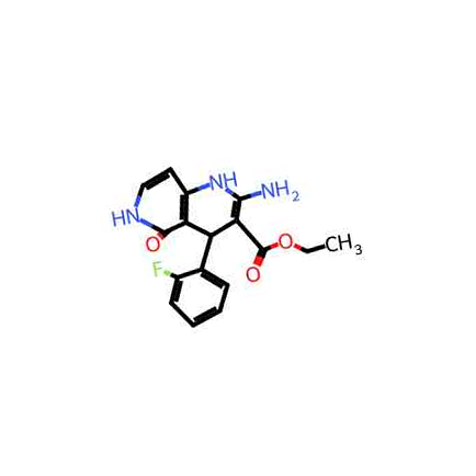 CCOC(=O)C1=C(N)Nc2cc[nH]c(=O)c2C1c1ccccc1F